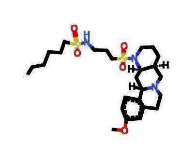 CCCCCCS(=O)(=O)NCCCS(=O)(=O)N1CCC[C@H]2CN3CCc4cc(OC)ccc4[C@@H]3C[C@H]21